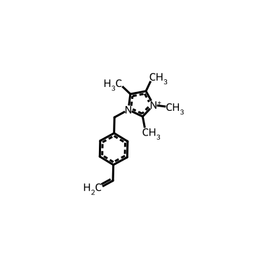 C=Cc1ccc(Cn2c(C)c(C)[n+](C)c2C)cc1